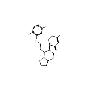 COC1=CC(=O)[C@@](C)(C2CC[C@]3(C)CCC[C@H]3C2CCNc2cc(C(F)(F)F)ccc2C(C)(C)C)CC1